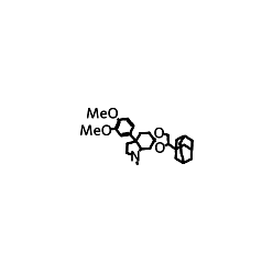 COc1ccc(C23CCN(C)C2CC2(CC3)OCC(C34CC5CC(CC(C5)C3)C4)O2)cc1OC